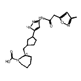 Cc1cc(CC(=O)Nc2cc(C3CCC(C[C@H]4CCCCN4C(=O)O)C3)[nH]n2)on1